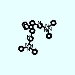 c1ccc(-c2nc(-c3ccccc3)nc(-c3ccc(-c4ccc5c(c4)C4(c6cccc(-c7ccc(-c8nc(-c9ccccc9)nc(-c9ccccc9)n8)cn7)c6-5)C5CC6CC(C5)CC4C6)nc3)n2)cc1